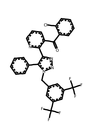 O=C(c1ccccc1Cl)c1cccnc1-c1nnn(Cc2cc(C(F)(F)F)cc(C(F)(F)F)c2)c1-c1ccccc1